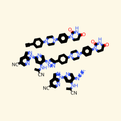 C#CC1CCC(N2CCN(c3ccc(N4CCC(=O)NC4=O)cc3)CC2)CC1.C[C@H](C#N)Nc1cc(-n2ncc3cc(C#N)cnc32)ncc1-n1cc(C2CCC(N3CCN(c4ccc(N5CCC(=O)NC5=O)cc4)CC3)CC2)nn1.C[C@H](C#N)Nc1cc(-n2ncc3cc(C#N)cnc32)ncc1N=[N+]=[N-]